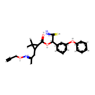 C#CCON=C(C)CC1C(C(=O)OC(C(N)=S)c2cccc(Oc3ccccc3)c2)C1(C)C